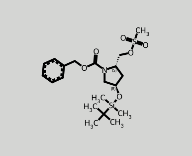 CC(C)(C)[Si](C)(C)O[C@@H]1C[C@@H](COS(C)(=O)=O)N(C(=O)OCc2ccccc2)C1